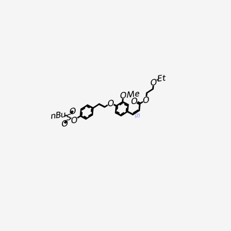 CCCCS(=O)(=O)Oc1ccc(CCOc2ccc(/C=C\C(=O)OCCOCC)cc2OC)cc1